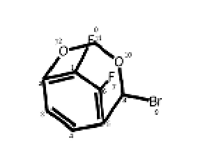 Fc1c2ccc(c1F)C(Br)OCO2